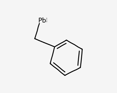 [Pb][CH2]c1ccccc1